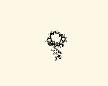 C=CC(=O)N1C[C@H](C)N(c2nc(=O)n3c4nc(c(F)cc24)-c2c(F)cccc2NCOCNCCc2ccnc(C(C)C)c2-3)C[C@H]1C